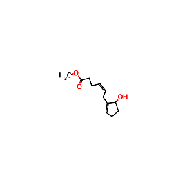 COC(=O)CC/C=C\CC1=CCC[C@@H]1O